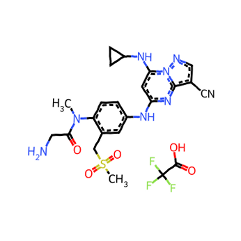 CN(C(=O)CN)c1ccc(Nc2cc(NC3CC3)n3ncc(C#N)c3n2)cc1CS(C)(=O)=O.O=C(O)C(F)(F)F